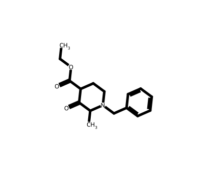 CCOC(=O)C1CCN(Cc2ccccc2)C(C)C1=O